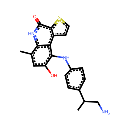 Cc1cc(O)c(Nc2ccc(C(C)CN)cc2)c2c1[nH]c(=O)c1sccc12